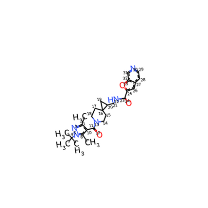 Cc1nn(C(C)(C)C)c(C)c1C(=O)N1CCC2(CC1)CC2CNC(=O)c1cc2ccncc2o1